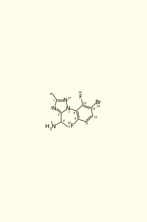 Cc1nc(C(C)N)n(-c2c(F)ccc(Br)c2F)n1